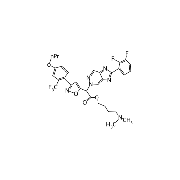 CCCOc1ccc(-c2cc(C(C(=O)OCCCCN(C)C)n3cc4nc(-c5cccc(F)c5F)nc-4cn3)on2)c(C(F)(F)F)c1